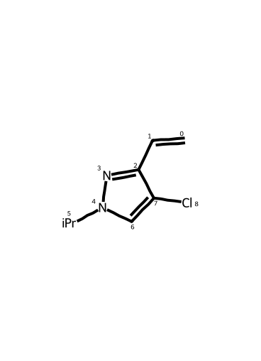 C=Cc1nn(C(C)C)cc1Cl